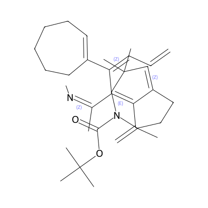 C=C\C=C(C1=CCCCCC1)/C(C(/C)=N\C)=C(C(=C)C)\C1=C/C(C)(C)CN(C(=O)OC(C)(C)C)CCC1